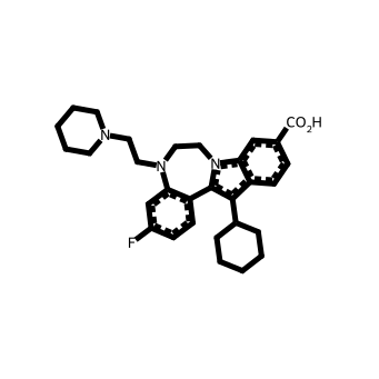 O=C(O)c1ccc2c(C3CCCCC3)c3n(c2c1)CCN(CCN1CCCCC1)c1cc(F)ccc1-3